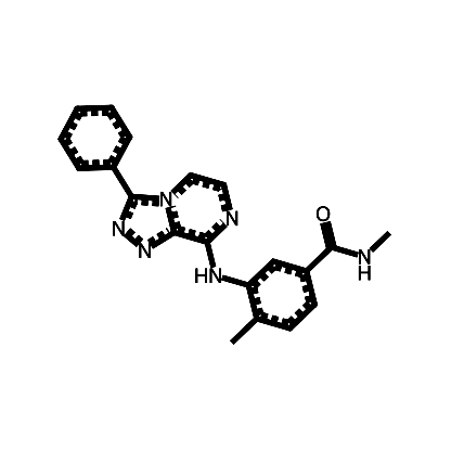 CNC(=O)c1ccc(C)c(Nc2nccn3c(-c4ccccc4)nnc23)c1